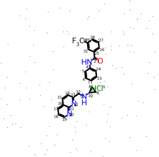 Cl.O=C(Nc1ccc([C@@H]2C[C@H]2NCc2ccc3cccnc3n2)cc1)c1cccc(C(F)(F)F)c1